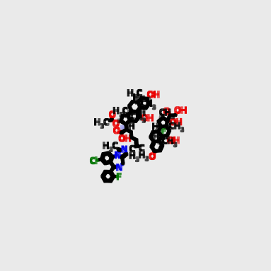 CC(=O)O[C@H]1C[C@@]2(C)[C@@H](C[C@@H](O)[C@H]3[C@@]4(C)CC[C@@H](O)[C@@H](C)[C@@H]4CC[C@@]32C)/C1=C(\CCC=C(C)C)C(=O)O.C[C@H]1C[C@H]2[C@@H]3CCC4=CC(=O)C=C[C@]4(C)[C@@]3(F)[C@@H](O)C[C@]2(C)[C@@]1(O)C(=O)CO.Cc1ncc2n1-c1ccc(Cl)cc1C(c1ccccc1F)=NC2